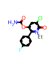 CCn1c(-c2ccc(F)cc2)c(OC(N)=O)cc(Cl)c1=O